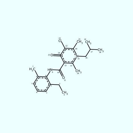 CCc1cccc(C)c1NC(=O)c1c(C)n(CC(C)C)c(C)c(Cl)c1=O